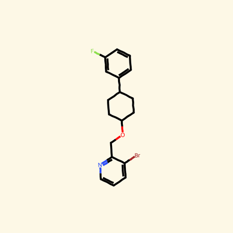 Fc1cccc(C2CCC(OCc3ncccc3Br)CC2)c1